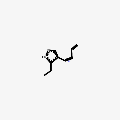 C=C/C=C\c1cn[nH]c1CC